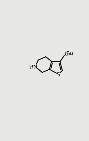 CC(C)(C)c1csc2c1CCNC2